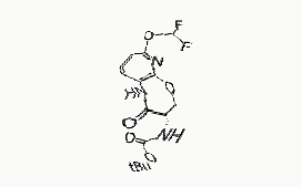 CC(C)(C)OC(=O)N[C@H]1COc2nc(OC(F)F)ccc2NC1=O